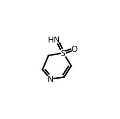 N=S1(=O)C=CN=CC1